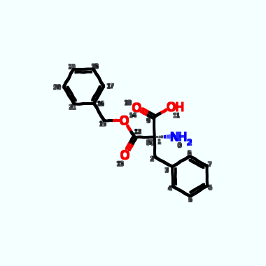 N[C@@](Cc1ccccc1)(C(=O)O)C(=O)OCc1ccccc1